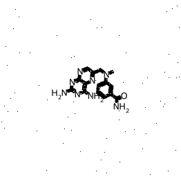 CN(Cc1cnc2nc(N)nc(N)c2n1)c1cccc(C(N)=O)c1